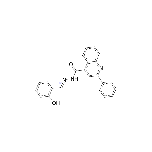 O=C(N/N=C/c1ccccc1O)c1cc(-c2ccccc2)nc2ccccc12